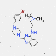 CN(C)CCCNc1nc(CN2CCN(Cc3ccc(Br)cc3)CC2)nc2ccccc12